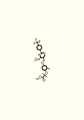 CCOC(=O)C(C)(C)Oc1ccc(OCc2cnc(-c3ccc(C(F)(F)F)cc3)nc2COC)cc1C